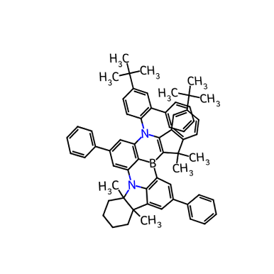 CC(C)(C)c1ccc2c(c1)C1=C(B3c4cc(-c5ccccc5)cc5c4N(c4cc(-c6ccccc6)cc(c43)N1c1ccc(C(C)(C)C)cc1-c1ccccc1)C1(C)CCCCC51C)C2(C)C